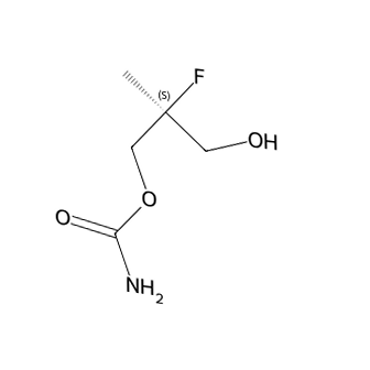 C[C@](F)(CO)COC(N)=O